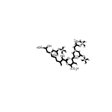 CCCCCCCCCCC(O)CN(CCCC(C)C(O)C(=O)OC(C(=O)O)C(C)CCCN(CC(CCCCCCCCCC)O[Si](C)(C)C)CC(CCCCCCCCCC)O[Si](C)(C)C)CC(CCCCCCCCCC)O[Si](C)(C)C